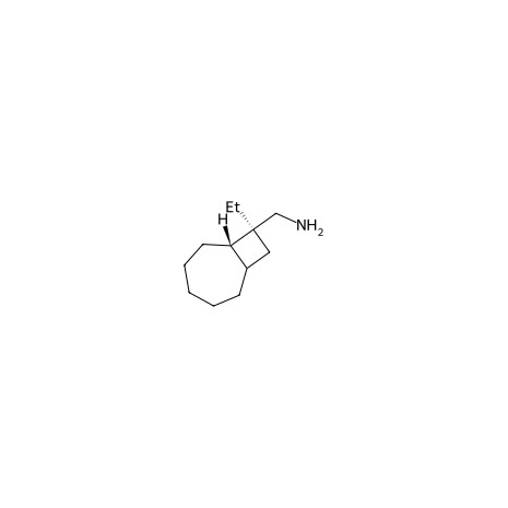 CC[C@]1(CN)CC2CCCCC[C@@H]21